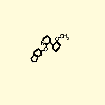 COc1ccccc1-c1cccnc1Oc1ccc2c(c1)CCC2